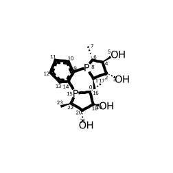 C[C@@H]1[C@@H](O)[C@H](O)[C@@H](C)P1c1ccccc1P1[C@H](C)[C@@H](O)[C@H](O)[C@H]1C